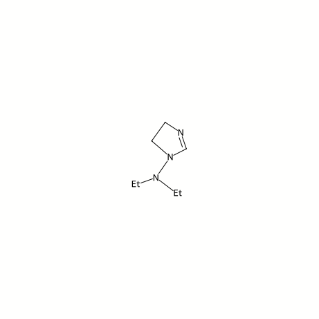 CCN(CC)N1C=NCC1